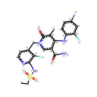 CCS(=O)(=O)Nc1nccc(Cn2cc(C(N)=O)c(Nc3ccc(I)cc3F)c(C)c2=O)c1F